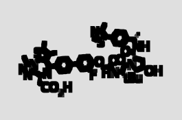 Cc1ncsc1-c1ccc([C@H](C)NC(=O)[C@@H]2C[C@@H](O)CN2C(=O)[C@@H](NC(=O)COc2ccc(-c3ccc(C4=N[C@@H](CC(=O)O)c5nnc(C)n5-c5sc(C)c(C)c54)cc3)cc2F)C(C)(C)C)cc1